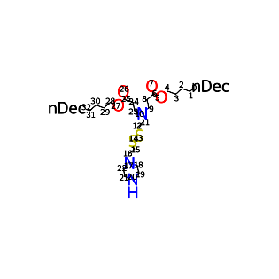 CCCCCCCCCCCCCCOC(=O)CCN(CCSSCCN1CCNCC1)CCC(=O)OCCCCCCCCCCCCCC